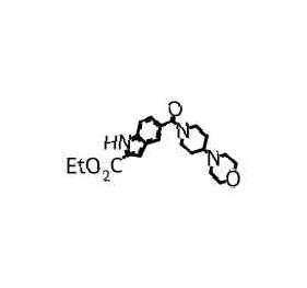 CCOC(=O)c1cc2cc(C(=O)N3CCC(N4CCOCC4)CC3)ccc2[nH]1